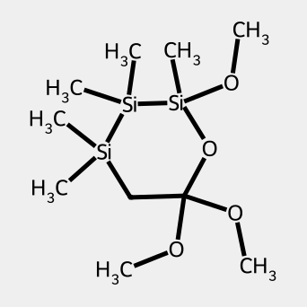 COC1(OC)C[Si](C)(C)[Si](C)(C)[Si](C)(OC)O1